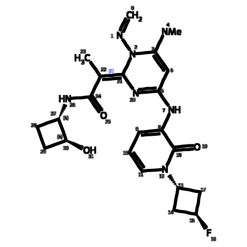 C=NN1C(NC)=CC(Nc2cccn([C@H]3C[C@H](F)C3)c2=O)=N/C1=C(/C)C(=O)N[C@H]1CC[C@@H]1O